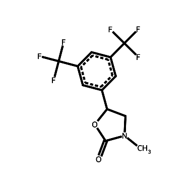 CN1CC(c2cc(C(F)(F)F)cc(C(F)(F)F)c2)OC1=O